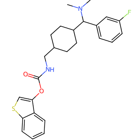 CN(C)C(c1cccc(F)c1)C1CCC(CNC(=O)Oc2csc3ccccc23)CC1